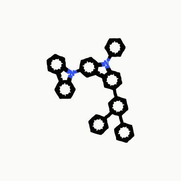 c1ccc(-c2ccc(-c3ccc4c(c3)c3cc(-n5c6ccccc6c6ccccc65)ccc3n4-c3ccccc3)cc2-c2ccccc2)cc1